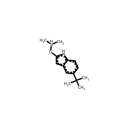 C[SiH](C)Oc1cc2cc(C(C)(C)C)ccc2[nH]1